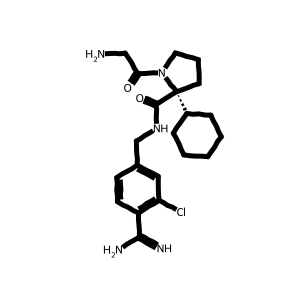 N=C(N)c1ccc(CNC(=O)[C@]2(C3CCCCC3)CCCN2C(=O)CN)cc1Cl